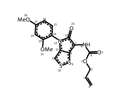 C=CCOC(=O)Nc1c2sscc-2n(-c2ccc(OC)cc2OC)c1=O